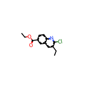 CCOC(=O)c1ccc2nc(Cl)c(CC)cc2c1